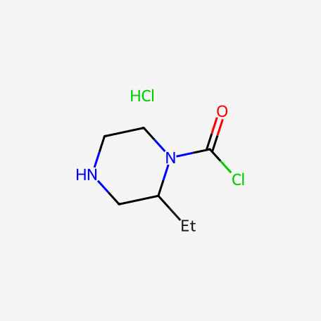 CCC1CNCCN1C(=O)Cl.Cl